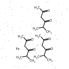 CC(=O)CC(=O)C(C)C.CC(=O)CC(=O)C(C)C.CC(=O)CC(=O)C(C)C.[Fe]